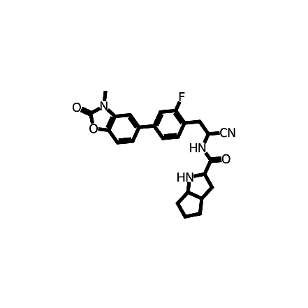 Cn1c(=O)oc2ccc(-c3ccc(CC(C#N)NC(=O)C4CC5CCCC5N4)c(F)c3)cc21